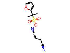 CC(C)(c1ccco1)S(=O)(=O)ON=C=CCC#N